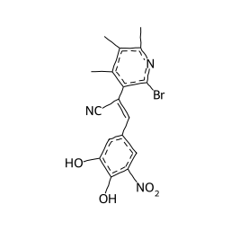 Cc1nc(Br)c(C(C#N)=Cc2cc(O)c(O)c([N+](=O)[O-])c2)c(C)c1C